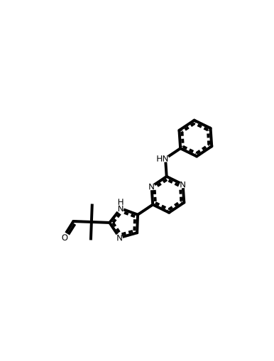 CC(C)(C=O)c1ncc(-c2ccnc(Nc3ccccc3)n2)[nH]1